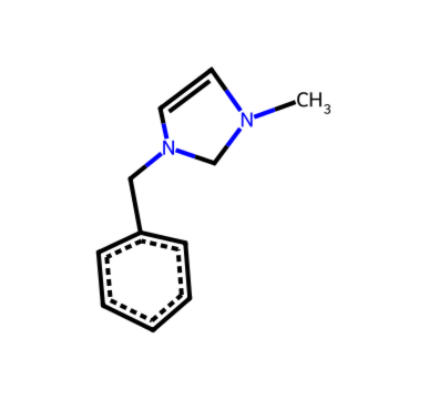 CN1C=CN(Cc2ccccc2)C1